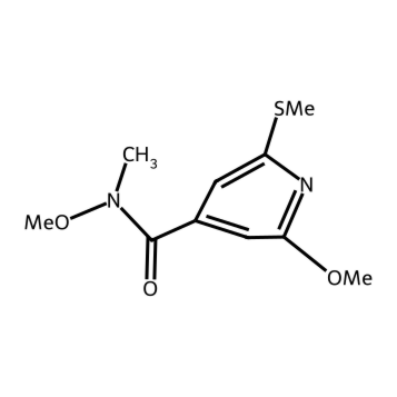 COc1cc(C(=O)N(C)OC)cc(SC)n1